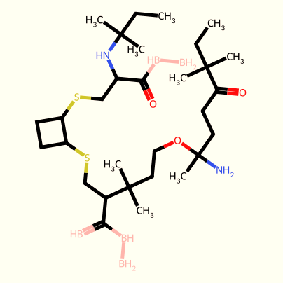 B=C(BB)C(CSC1CCC1SCC(NC(C)(C)CC)C(=O)BB)C(C)(C)CCOC(C)(N)CCC(=O)C(C)(C)CC